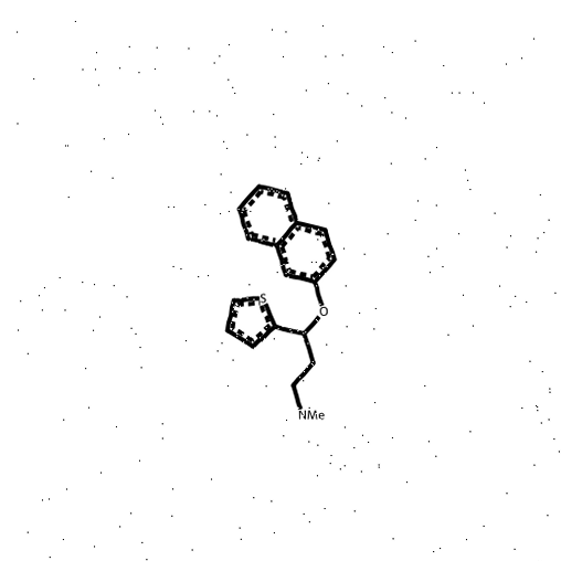 CNCCC(Oc1ccc2ccccc2c1)c1cccs1